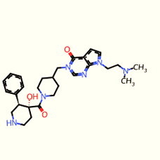 CN(C)CCn1ccc2c(=O)n(CC3CCN(C(=O)[C@@]4(O)CCNC[C@H]4c4ccccc4)CC3)cnc21